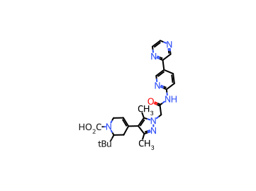 Cc1nn(CC(=O)Nc2ccc(-c3cnccn3)cn2)c(C)c1C1=CCN(C(=O)O)C(C(C)(C)C)C1